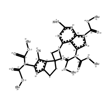 CSc1nc(N2CC3(CCc4sc(N(C(=O)OC(C)(C)C)C(=O)OC(C)(C)C)c(C#N)c43)C2)c2c(N(C(=O)OC(C)(C)C)C(=O)OC(C)(C)C)nn(C(=O)OC(C)(C)C)c2n1